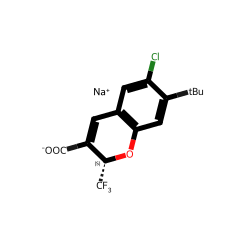 CC(C)(C)c1cc2c(cc1Cl)C=C(C(=O)[O-])[C@@H](C(F)(F)F)O2.[Na+]